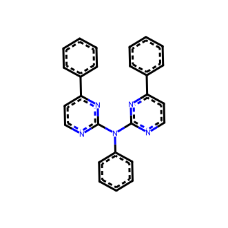 c1ccc(-c2ccnc(N(c3ccccc3)c3nccc(-c4ccccc4)n3)n2)cc1